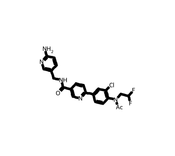 CC(=O)N(CC(F)F)c1ccc(-c2ccc(C(=O)NCc3ccc(N)nc3)cn2)cc1Cl